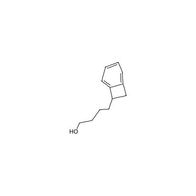 OCCCCC1Cc2ccccc21